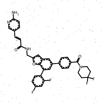 Nc1ccc(/C=C/C(=O)NCc2cc3cc(-c4ccc(C(=O)N5CCC(F)(F)CC5)cc4)cc(-c4ccc(F)cc4F)c3o2)cn1